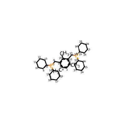 Cc1cc(C)c(CP(C2CCCCC2)C2CCCCC2)c(C)c1CP(C1CCCCC1)C1CCCCC1